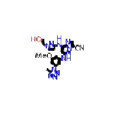 COc1cc(Nc2cc(Nc3ccn(CCO)n3)c3ncc(C#N)n3n2)cc(-n2nnnc2C)c1